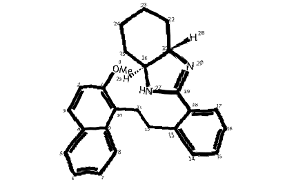 COc1ccc2ccccc2c1CCc1ccccc1C1=N[C@H]2CCCC[C@@H]2N1